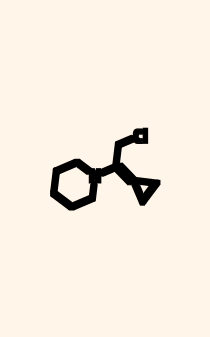 ClCC(=C1CC1)N1CCCCC1